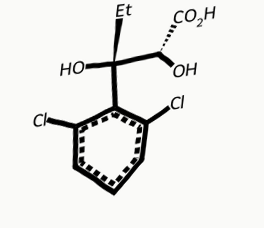 CC[C@](O)(c1c(Cl)cccc1Cl)[C@@H](O)C(=O)O